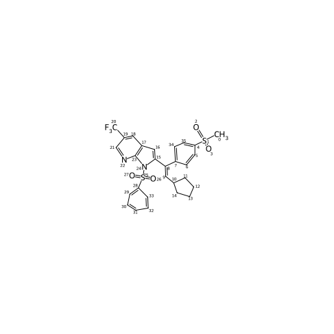 CS(=O)(=O)c1ccc(C(=CC2CCCC2)c2cc3cc(C(F)(F)F)cnc3n2S(=O)(=O)c2ccccc2)cc1